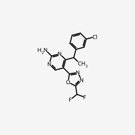 CC(c1cccc(Cl)c1)c1nc(N)ncc1-c1nnc(C(F)F)o1